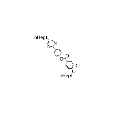 CCCCCCCOc1ccc(C(=O)Oc2ccc(-c3ncc(CCCCCCC)cn3)cc2)cc1Cl